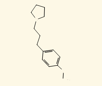 CCCCCCOc1ccc(CCCN2CCCC2)cc1